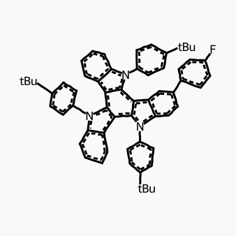 CC(C)(C)c1ccc(-n2c3ccccc3c3c2c2c4ccccc4n(-c4ccc(C(C)(C)C)cc4)c2c2c4cc(-c5ccc(F)cc5)ccc4n(-c4ccc(C(C)(C)C)cc4)c32)cc1